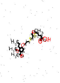 CCCc1c(OCCCSCC2COC(C)(CCCC(=O)O)S2)ccc(C(C)=O)c1OC